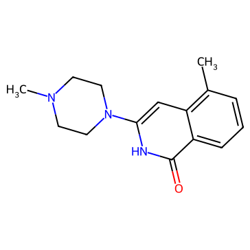 Cc1cccc2c(=O)[nH]c(N3CCN(C)CC3)cc12